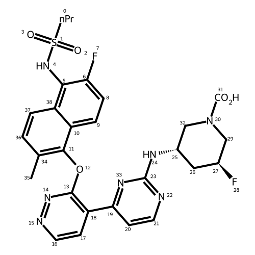 CCCS(=O)(=O)Nc1c(F)ccc2c(Oc3nnccc3-c3ccnc(N[C@H]4C[C@H](F)CN(C(=O)O)C4)n3)c(C)ccc12